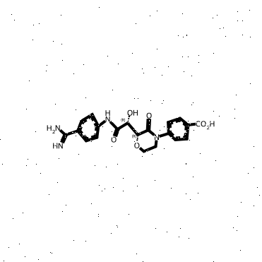 N=C(N)c1ccc(NC(=O)[C@H](O)[C@H]2OCCN(c3ccc(C(=O)O)cc3)C2=O)cc1